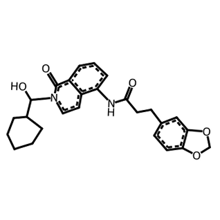 O=C(CCc1ccc2c(c1)OCO2)Nc1cccc2c(=O)n(C(O)C3CCCCC3)ccc12